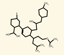 CC(C)CC(CCOC(C)C)C1CC=C(C2CC(F)CCC2C(O)O)CC1CC(O)CC1CCC(C)CC1